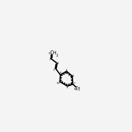 C=CC=Cc1ccc(CC)cc1